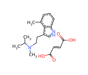 Cc1cccc2[nH]cc(CCN(C)C(C)C)c12.O=C(O)/C=C/C(=O)O